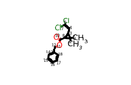 CC1(C)C(C=C(Cl)Cl)C1C(=O)OCc1ccccc1